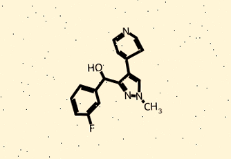 Cn1cc(-c2ccncc2)c(C(O)c2cccc(F)c2)n1